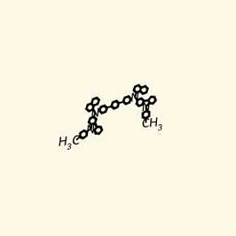 Cc1ccc(-n2c3ccccc3c3cc(N(c4ccc(-c5ccc(-c6ccc(N(c7ccc8c(c7)c7ccccc7n8-c7ccc(C)cc7)c7cccc8ccccc78)cc6)cc5)cc4)c4cccc5ccccc45)ccc32)cc1